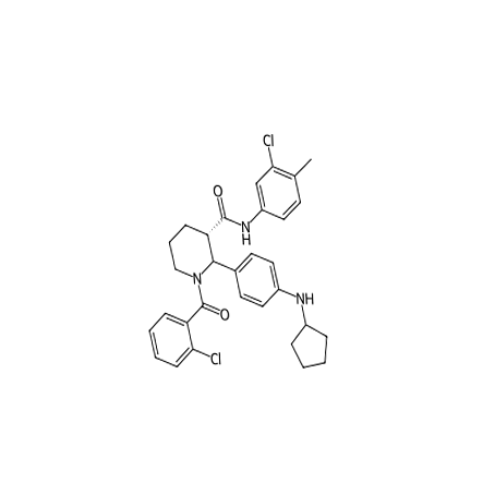 Cc1ccc(NC(=O)[C@H]2CCCN(C(=O)c3ccccc3Cl)C2c2ccc(NC3CCCC3)cc2)cc1Cl